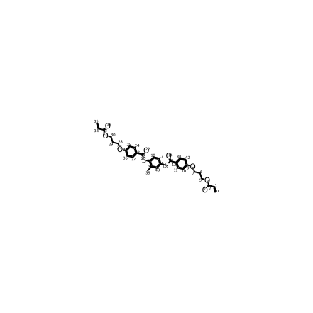 C=CC(=O)OCCCOc1ccc(C(=O)Sc2ccc(SC(=O)c3ccc(OCCCOC(=O)C=C)cc3)c(C)c2)cc1